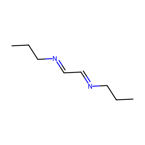 CCCN=CC=NCCC